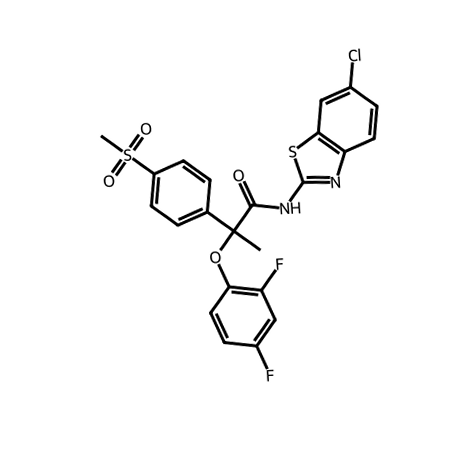 CC(Oc1ccc(F)cc1F)(C(=O)Nc1nc2ccc(Cl)cc2s1)c1ccc(S(C)(=O)=O)cc1